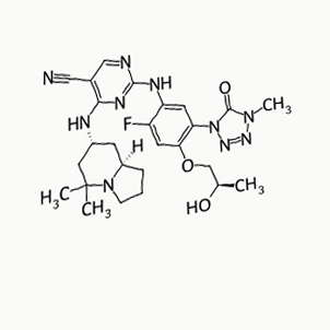 C[C@@H](O)COc1cc(F)c(Nc2ncc(C#N)c(N[C@@H]3C[C@H]4CCCN4C(C)(C)C3)n2)cc1-n1nnn(C)c1=O